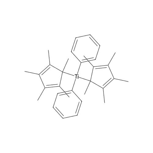 CC1=C(C)[C](C)([Ti]([c]2ccccc2)([c]2ccccc2)[C]2(C)C(C)=C(C)C(C)=C2C)C(C)=C1C